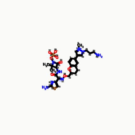 C[n+]1cc(-c2ccc3c(c2)CCC(CO/N=C(\C(=O)NC2C(=O)N(OS(=O)(=O)[O-])C2(C)C)c2csc(N)n2)O3)cn1CCCN